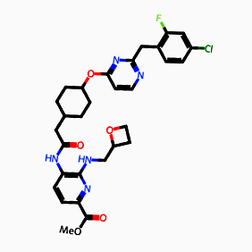 COC(=O)c1ccc(NC(=O)CC2CCC(Oc3ccnc(Cc4ccc(Cl)cc4F)n3)CC2)c(NCC2CCO2)n1